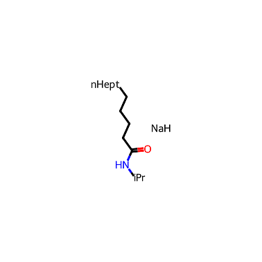 [CH2]C(C)NC(=O)CCCCCCCCCCC.[NaH]